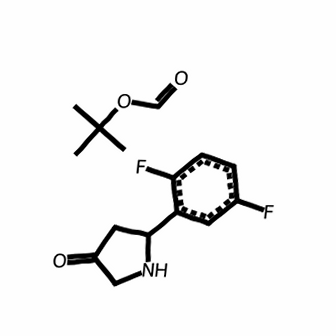 CC(C)(C)OC=O.O=C1CNC(c2cc(F)ccc2F)C1